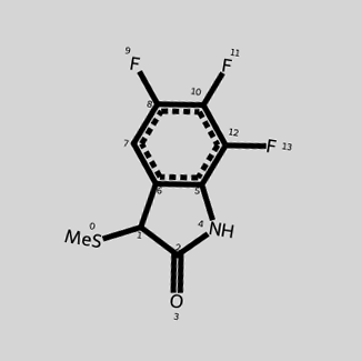 CSC1C(=O)Nc2c1cc(F)c(F)c2F